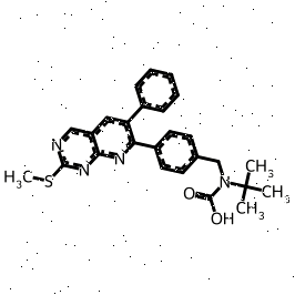 CSc1ncc2cc(-c3ccccc3)c(-c3ccc(CN(C(=O)O)C(C)(C)C)cc3)nc2n1